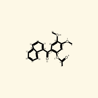 COc1cc(OC(C)=O)c(C(=O)c2cccc3ccccc23)cc1OC